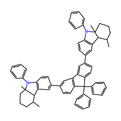 CC1CCCC2(C)C1c1cc(-c3ccc4c(c3)-c3cc(-c5ccc6c(c5)C5C(C)CCCC5(C)N6c5ccccc5)ccc3C4(c3ccccc3)c3ccccc3)ccc1N2c1ccccc1